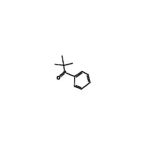 CC(C)(C)[P](=O)c1ccccc1